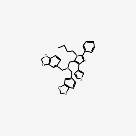 CCCCn1c(-c2ccccc2)nc(-c2ccsc2)c1CN(Cc1ccc2c(c1)OCO2)Cc1ccc2c(c1)OCO2